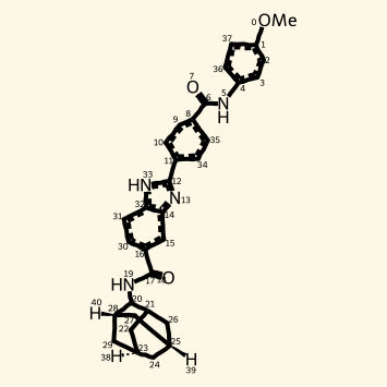 COc1ccc(NC(=O)c2ccc(-c3nc4cc(C(=O)NC5C6C[C@H]7C[C@@H](C6)C[C@@H]5C7)ccc4[nH]3)cc2)cc1